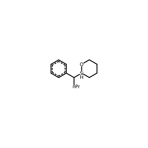 CCCC(c1ccccc1)[SiH]1CCCCO1